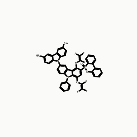 CC(C)(C)c1ccc2c(c1)c1cc(C(C)(C)C)ccc1n2-c1ccc2c(c1)c1c(OC(F)=C(F)F)c(P3(=O)Oc4ccccc4-c4ccccc43)cc(OC(F)=C(F)F)c1n2-c1ccccc1